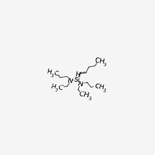 CCCC=C[SiH](N(CC)CCC)N(CC)CCC